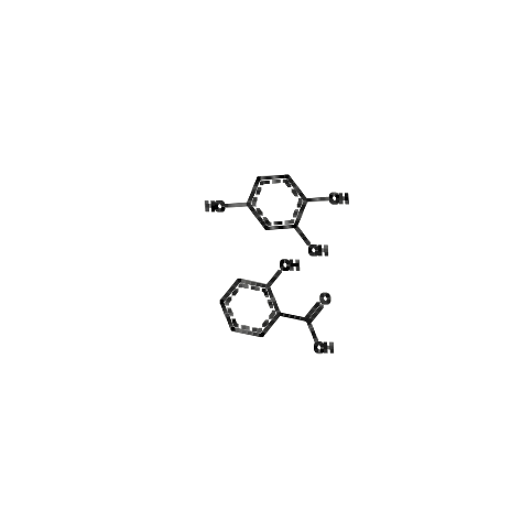 O=C(O)c1ccccc1O.Oc1ccc(O)c(O)c1